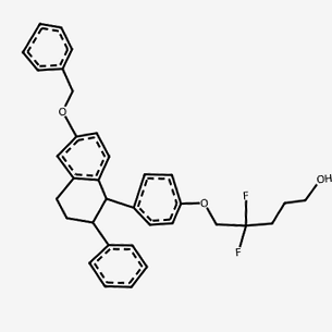 OCCCC(F)(F)COc1ccc(C2c3ccc(OCc4ccccc4)cc3CCC2c2ccccc2)cc1